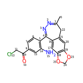 CC1=NN=C(c2ccc(C(=O)CCl)cc2N)c2cc3c(cc2C1)OCO3